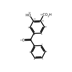 O=C(c1ccccc1)c1ccc(C(=O)O)c(O)c1